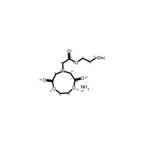 CCCCCCCCCCCCOC(=O)CN1CC(=O)OCCOC(=O)C1.N